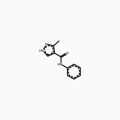 Cc1n[nH]cc1C(=O)Nc1ccccc1